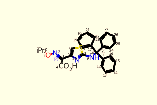 CC(C)O/N=C(\C(=O)O)c1csc(NC(c2ccccc2)(c2ccccc2)c2ccccc2)n1